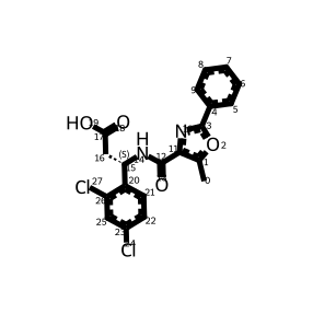 Cc1oc(-c2ccccc2)nc1C(=O)N[C@@H](CC(=O)O)c1ccc(Cl)cc1Cl